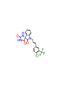 O=C1NC(=O)[C@]2(N1)C(=O)N(C/C=C/c1ccc(Cl)c(C(F)(F)F)c1)c1ccccc12